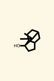 CC1(C)C2CCC3C(CCC31O)C2